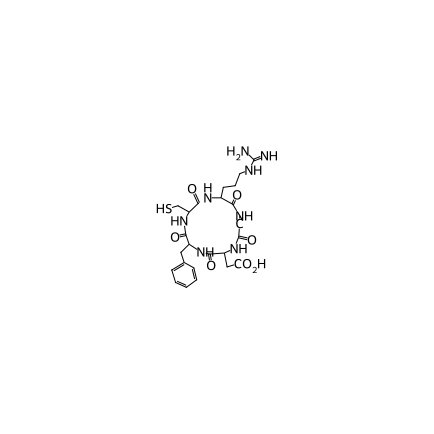 N=C(N)NCCCC1NC(=O)C(CS)NC(=O)C(Cc2ccccc2)NC(=O)C(CC(=O)O)NC(=O)CNC1=O